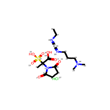 CC(C(=O)O)(N1C(=O)CCC1=O)S(=O)(=O)O.CCN=C=NCCCN(C)C.Cl